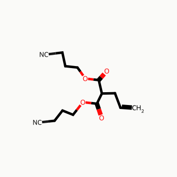 C=CCC(C(=O)OCCCC#N)C(=O)OCCCC#N